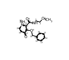 COCCNC(=O)c1c(OCc2ccccc2)c(=O)ccn1N